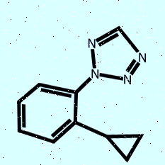 c1ccc(-n2ncnn2)c(C2CC2)c1